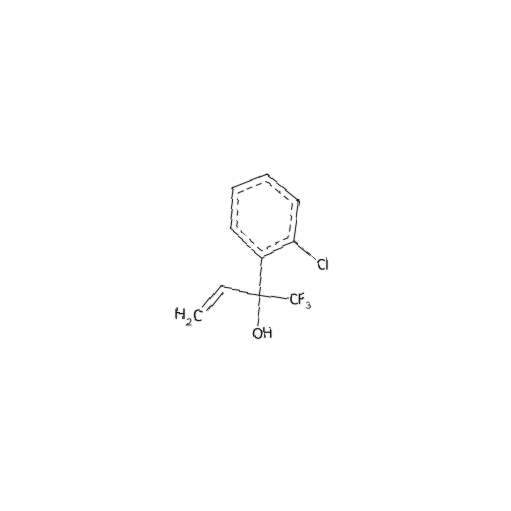 C=CC(O)(c1ccccc1Cl)C(F)(F)F